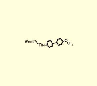 CCC[C@@H](C)CCCNc1ccc(-c2ccc(OC(F)(F)F)cc2)cc1